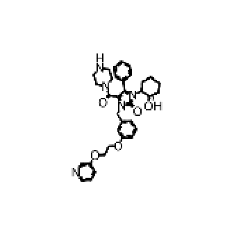 O=C(c1c(-c2ccccc2)n(C2CCCC[C@H]2O)c(=O)n1Cc1cccc(OCCOc2cccnc2)c1)N1CCNCC1